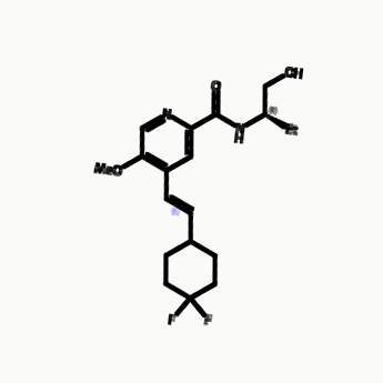 CC[C@H](CO)NC(=O)c1cc(/C=C/C2CCC(F)(F)CC2)c(OC)cn1